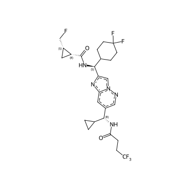 O=C(CCC(F)(F)F)N[C@@H](c1cnn2cc([C@@H](NC(=O)[C@@H]3C[C@@H]3CF)C3CCC(F)(F)CC3)nc2c1)C1CC1